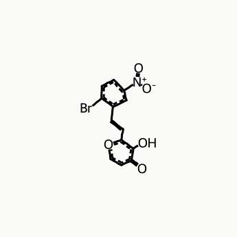 O=c1ccoc(C=Cc2cc([N+](=O)[O-])ccc2Br)c1O